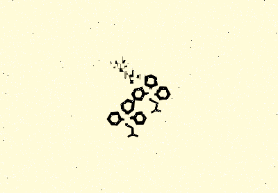 CC(C)CC[P+](c1ccccc1)(c1ccccc1)c1ccccc1.CC(C)CC[P+](c1ccccc1)(c1ccccc1)c1ccccc1.[F][Mn-]([F])([F])[F].[F][Mn-]([F])([F])[F]